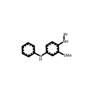 CSc1cc(Nc2ccccc2)ccc1NC(C)C